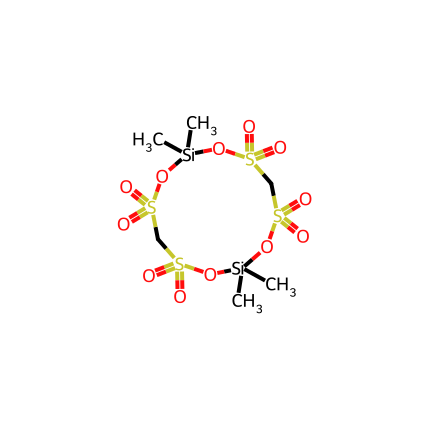 C[Si]1(C)OS(=O)(=O)CS(=O)(=O)O[Si](C)(C)OS(=O)(=O)CS(=O)(=O)O1